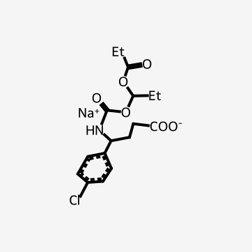 CCC(=O)OC(CC)OC(=O)NC(CCC(=O)[O-])c1ccc(Cl)cc1.[Na+]